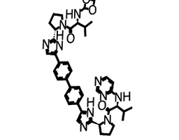 CC(C)[C@H](Nc1ccncn1)C(=O)N1CCC[C@H]1c1ncc(-c2ccc(-c3ccc(-c4cnc([C@@H]5CCCN5C(=O)[C@@H](NC5OCO5)C(C)C)[nH]4)cc3)cc2)[nH]1